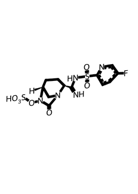 N=C(NS(=O)(=O)c1ccc(F)cn1)[C@@H]1CC[C@@H]2CN1C(=O)N2OS(=O)(=O)O